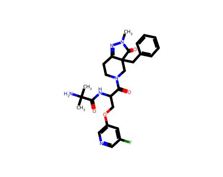 CN1N=C2CCN(C(=O)C(COc3cncc(F)c3)NC(=O)C(C)(C)N)CC2(Cc2ccccc2)C1=O